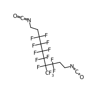 O=C=NCCC(F)(F)C(F)(F)C(F)(F)C(F)(F)C(F)(C(F)(F)F)C(F)(F)CCN=C=O